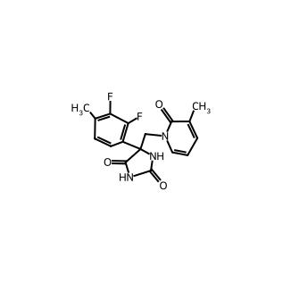 Cc1ccc(C2(Cn3cccc(C)c3=O)NC(=O)NC2=O)c(F)c1F